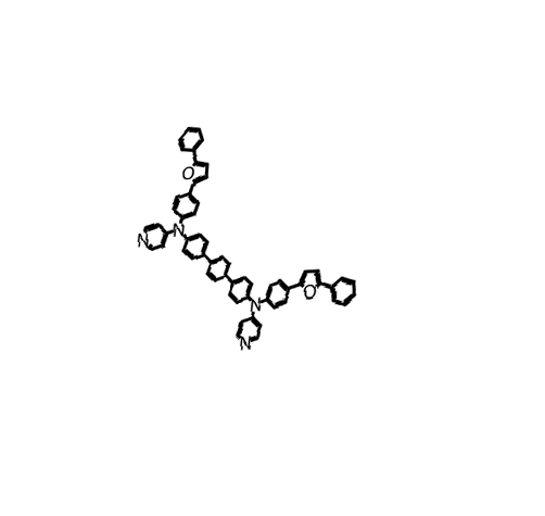 c1ccc(-c2ccc(-c3ccc(N(c4ccncc4)c4ccc(-c5ccc(-c6ccc(N(c7ccncc7)c7ccc(-c8ccc(-c9ccccc9)o8)cc7)cc6)cc5)cc4)cc3)o2)cc1